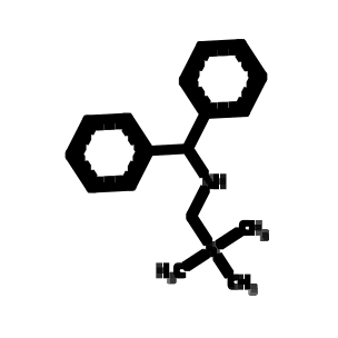 C[Si](C)(C)CNC(c1ccccc1)c1ccccc1